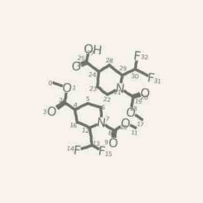 COC(=O)C1CCN(C(=O)OC)C(C(F)F)C1.COC(=O)N1CCC(C(=O)O)CC1C(F)F